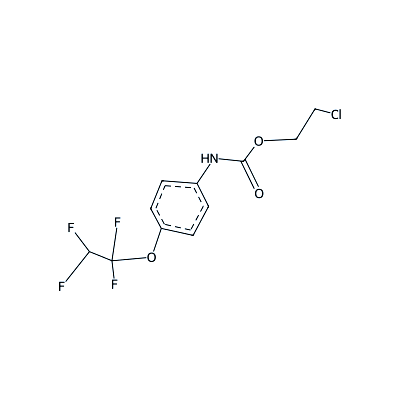 O=C(Nc1ccc(OC(F)(F)C(F)F)cc1)OCCCl